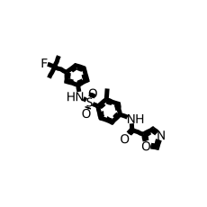 Cc1cc(NC(=O)c2cnco2)ccc1S(=O)(=O)Nc1cccc(C(C)(C)F)c1